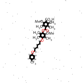 COc1c(C)c(OCCCCCCOc2ccc(C(F)(F)F)cc2)c(C)c(C)c1OC(=O)c1c(C)c(C)c(C(=O)O)c(OC)c1C